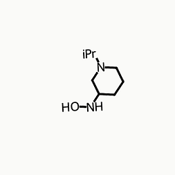 CC(C)N1CCCC(NO)C1